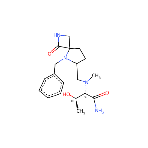 C[C@@H](O)[C@@H](C(N)=O)N(C)CC1CCC2(CNC2=O)N1Cc1ccccc1